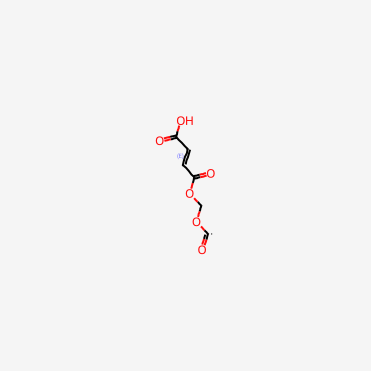 O=[C]OCOC(=O)/C=C/C(=O)O